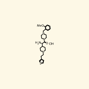 COc1ccccc1CN1CCN(C(=O)[C@H](N)C2CCN(CCc3ccsc3)CC2)CC1.Cl